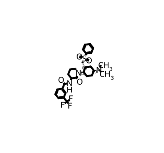 CN(C)[C@@H]1CC[C@H](N2CCCC(NC(=O)c3cccc(C(F)(F)F)c3)C2=O)[C@H](CS(=O)(=O)c2ccccc2)C1